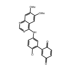 COc1cc2ncnc(Nc3ccc(Cl)c(C4=CC(=O)C=CC4=O)c3)c2cc1OC